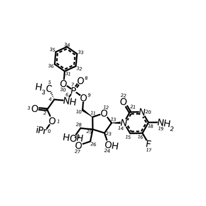 CC(C)OC(=O)[C@H](C)NP(=O)(OC[C@H]1O[C@@H](n2cc(F)c(N)nc2=O)C(O)C1(CO)CO)Oc1ccccc1